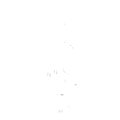 Cc1ccc(OCCO/N=C2\C=C[C@@]3(C)C(=C2)CC[C@H]2[C@@H]4CC[C@](O)(C(=O)CO)C4C/C(=N\N(C)C)[C@@H]23)cc1